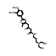 COc1ccc(-c2nc(CC(=O)CC(=O)NCCCN(CC(C)C)CC(C)C)c(C)o2)cc1OC